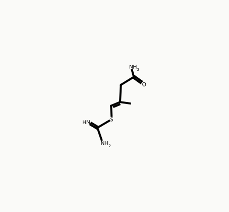 C/C(=C\SC(=N)N)CC(N)=O